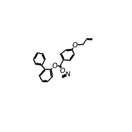 C#N.C=CCOc1ccc(C(=O)Oc2ccccc2-c2ccccc2)cc1